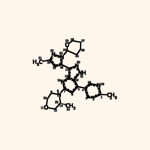 Cc1ccc(-c2cc(N3CCOC[C@H]3C)nc3c(-c4cc(C)nn4C4CCCCO4)n[nH]c23)cn1